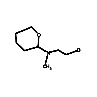 CN(CC[O])C1CCCCO1